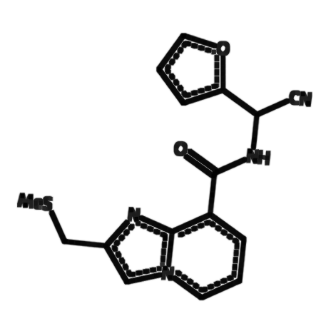 CSCc1cn2cccc(C(=O)NC(C#N)c3ccco3)c2n1